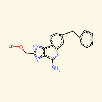 CCOCc1nc2c(N)nc3cc(Cc4ccccc4)ccc3c2[nH]1